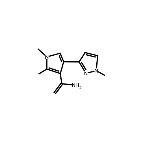 C=C(N)c1c(-c2ccn(C)n2)cn(C)c1C